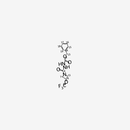 O=C(NNC(=O)N1CC(OC(F)(F)F)C1)OCc1ccccc1